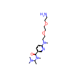 CC(N(C)C)N(C)C(=O)c1ccc(N(C)CCOCCOCCN)nc1